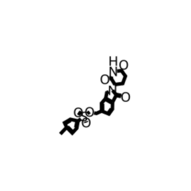 Cc1ccc(S(=O)(=O)OCc2ccc3c(c2)CN(C2CCC(=O)NC2=O)C3=O)cc1